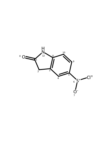 O=C1Cc2cc([S+]([O-])Cl)ccc2N1